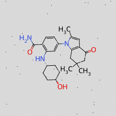 Cc1cc2c(n1-c1ccc(C(N)=O)c(N[C@H]3CC[C@H](O)CC3)c1)CC(C)(C)CC2=O